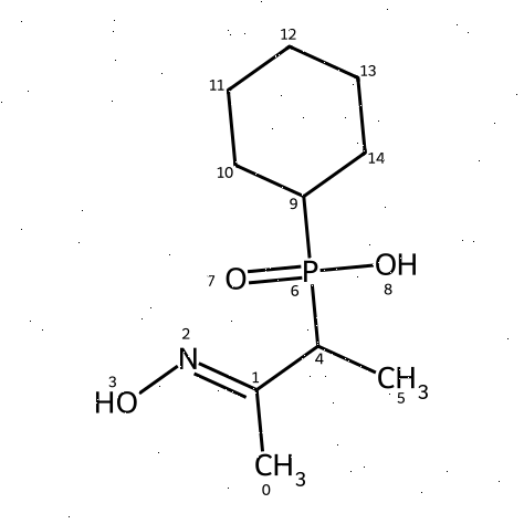 CC(=NO)C(C)P(=O)(O)C1CCCCC1